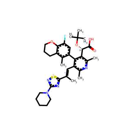 C/C(=C\c1c(C)nc(C)c([C@H](OC(C)(C)C)C(=O)O)c1-c1cc(F)c2c(c1C)CCCO2)c1nc(N2CCCCC2)ns1